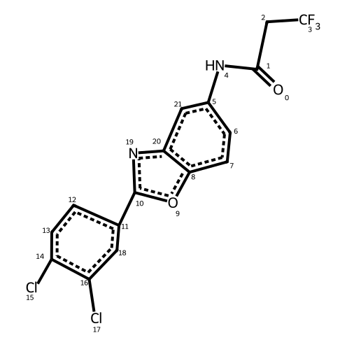 O=C(CC(F)(F)F)Nc1ccc2oc(-c3ccc(Cl)c(Cl)c3)nc2c1